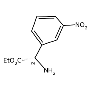 CCOC(=O)[C@@H](N)c1cccc([N+](=O)[O-])c1